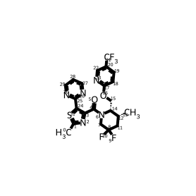 Cc1nc(C(=O)N2CC(F)(F)C[C@@H](C)[C@H]2COc2ccc(C(F)(F)F)cn2)c(-c2ncccn2)s1